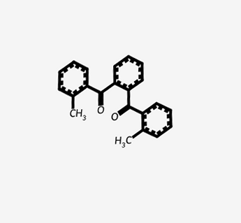 Cc1ccccc1C(=O)c1ccccc1C(=O)c1ccccc1C